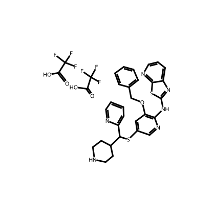 O=C(O)C(F)(F)F.O=C(O)C(F)(F)F.c1ccc(COc2cc(SC(c3ccccn3)C3CCNCC3)cnc2Nc2nc3cccnc3s2)cc1